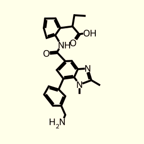 CCC(C(=O)O)c1ccccc1NC(=O)c1cc(-c2cccc(CN)c2)c2c(c1)nc(C)n2C